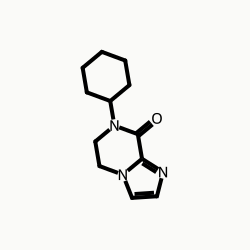 O=C1c2nccn2CCN1C1CCCCC1